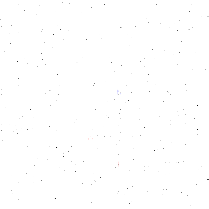 C=CCN=CCOC(C)O